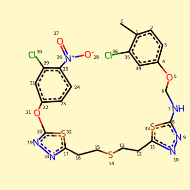 Cc1ccc(OCNc2nnc(CCSCCc3nnc(Oc4ccc([N+](=O)[O-])c(Cl)c4)s3)s2)cc1Cl